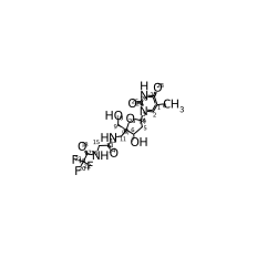 Cc1cn([C@H]2CC(O)[C@](CO)(CNC(=O)CNC(=O)C(F)(F)F)O2)c(=O)[nH]c1=O